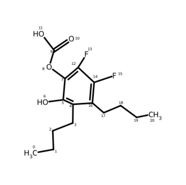 CCCCc1c(O)c(OC(=O)O)c(F)c(F)c1CCCC